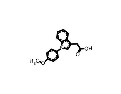 COc1ccc(-n2cc(CC(=O)O)c3ccccc32)cc1